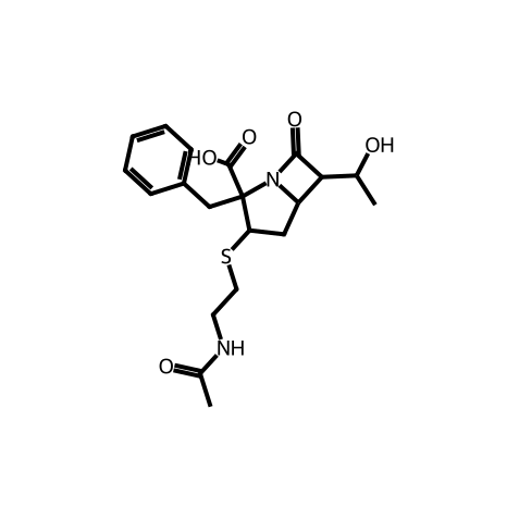 CC(=O)NCCSC1CC2C(C(C)O)C(=O)N2C1(Cc1ccccc1)C(=O)O